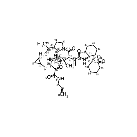 C=CCNC(=O)C(=O)[C@H](CC1CC1)NC(=O)[C@@H]1[C@@H](C(C)C)CCN1C(=O)[C@@H](NC(=O)NC1([C@H]2CCCCS2(=O)=O)CCCCC1)C(C)(C)C